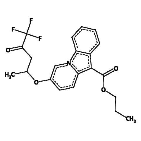 CCCOC(=O)c1c2ccccc2n2cc(OC(C)CC(=O)C(F)(F)F)ccc12